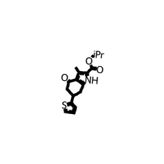 Cc1c(C(=O)OC(C)C)[nH]c2c1C(=O)CC(c1cccs1)C2